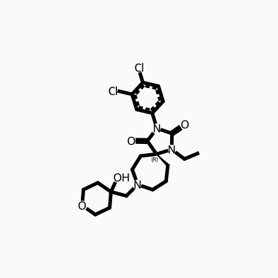 CCN1C(=O)N(c2ccc(Cl)c(Cl)c2)C(=O)[C@]12CCCN(CC1(O)CCOCC1)CC2